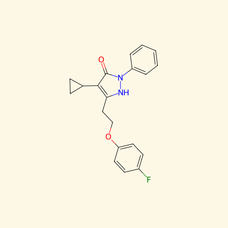 O=c1c(C2CC2)c(CCOc2ccc(F)cc2)[nH]n1-c1ccccc1